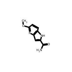 COc1ccc2[nH]c(C(N)=O)cc2n1